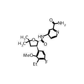 CCc1c(F)ccc([C@H]2CC(C)(C)O[C@@H]2C(=O)Nc2ccnc(C(N)=O)c2)c1OC